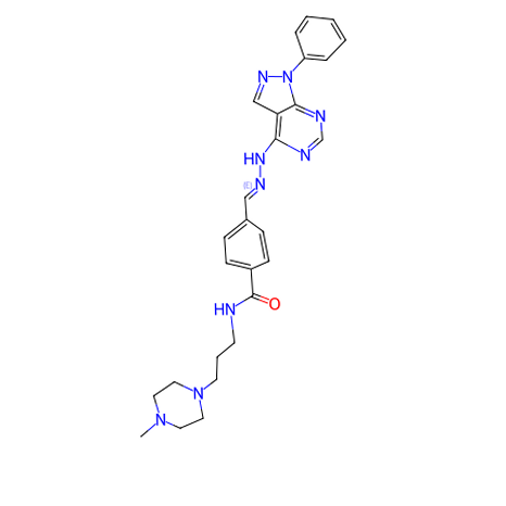 CN1CCN(CCCNC(=O)c2ccc(/C=N/Nc3ncnc4c3cnn4-c3ccccc3)cc2)CC1